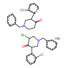 Br.O=C1C(Br)CN(Cc2ccccc2)CC1c1ccccc1Cl.O=C1CCN(Cc2ccccc2)CC1c1ccccc1Cl